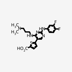 CN(C)CCCNc1nc(Nc2ccc(F)c(F)c2)ncc1-c1ccc(C(=O)O)s1